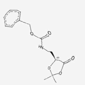 CC1(C)OC(=O)[C@H](CNC(=O)OCc2ccccc2)O1